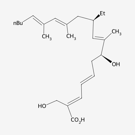 CCCC/C=C(C)/C=C(\C)C[C@H](/C=C(\C)[C@@H](O)C/C=C/C=C(\CO)C(=O)O)CC